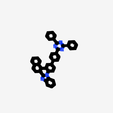 c1ccc(-c2nc(-c3ccccc3)nc(-c3ccc(-c4ccc5c(c4)c4c6ccccc6ccc4c4nc6ccccc6n54)cc3)n2)cc1